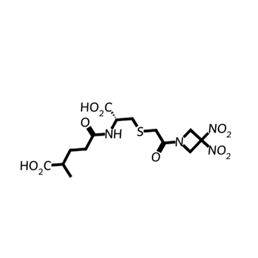 CC(CCC(=O)N[C@@H](CSCC(=O)N1CC([N+](=O)[O-])([N+](=O)[O-])C1)C(=O)O)C(=O)O